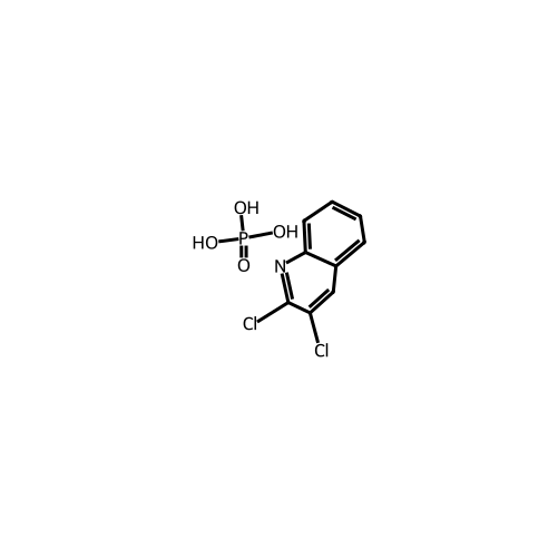 Clc1cc2ccccc2nc1Cl.O=P(O)(O)O